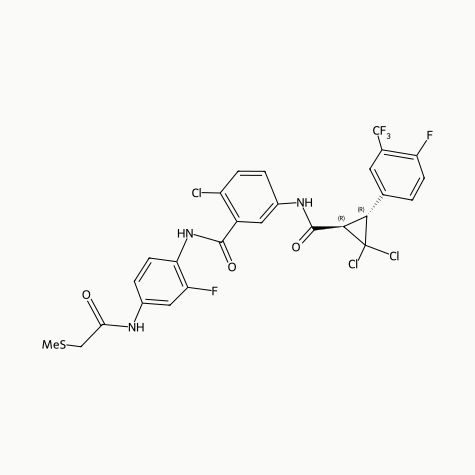 CSCC(=O)Nc1ccc(NC(=O)c2cc(NC(=O)[C@H]3[C@H](c4ccc(F)c(C(F)(F)F)c4)C3(Cl)Cl)ccc2Cl)c(F)c1